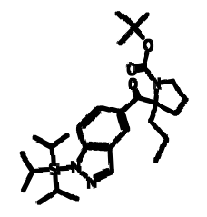 CCCC1(C(=O)c2ccc3c(cnn3[Si](C(C)C)(C(C)C)C(C)C)c2)CCCN1C(=O)OC(C)(C)C